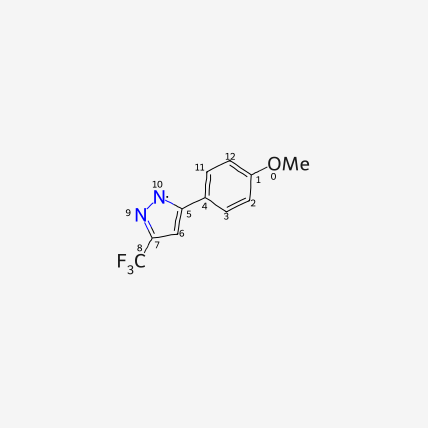 COc1ccc(C2=CC(C(F)(F)F)=N[N]2)cc1